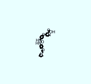 O=C(Nc1ccc(OCCN2CCCC2)cc1)Nc1ccc(Oc2ccnc(C(=O)O)c2)cc1